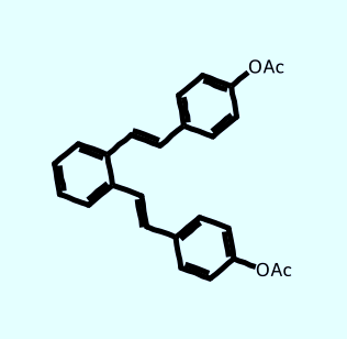 CC(=O)Oc1ccc(C=Cc2ccccc2C=Cc2ccc(OC(C)=O)cc2)cc1